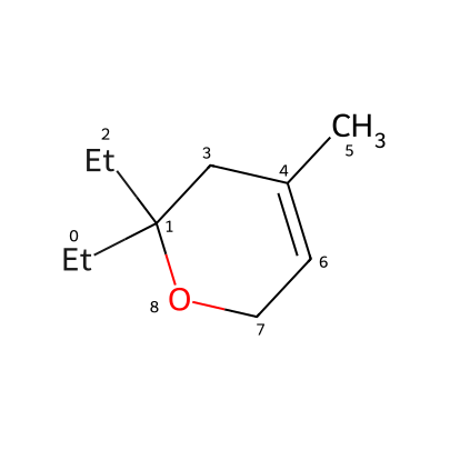 CCC1(CC)CC(C)=CCO1